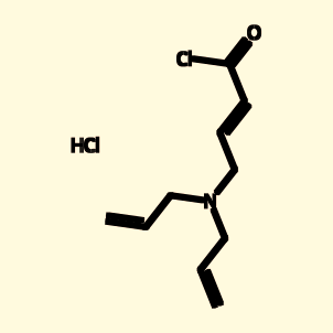 C=CCN(CC=C)C/C=C/C(=O)Cl.Cl